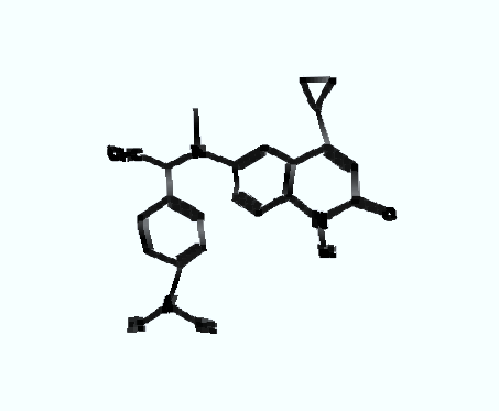 CCN(CC)c1ccc(C(C=O)N(C)c2ccc3c(c2)c(C2CC2)cc(=O)n3CC)cc1